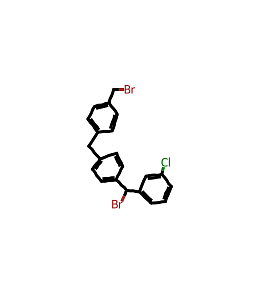 Clc1cccc(C(Br)c2ccc(Cc3ccc(CBr)cc3)cc2)c1